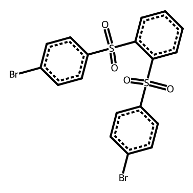 O=S(=O)(c1ccc(Br)cc1)c1ccccc1S(=O)(=O)c1ccc(Br)cc1